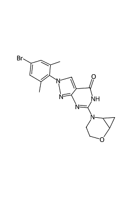 Cc1cc(Br)cc(C)c1-n1cc2c(=O)[nH]c(N3CCOC4CC43)nc2n1